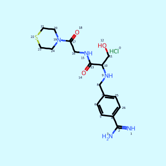 Cl.N=C(N)c1ccc(CNC(CO)C(=O)NCC(=O)N2CCSCC2)cc1